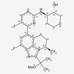 COC(C)(C)c1nc2c(F)cc(-c3nc(N[C@@H]4CCOC[C@H]4O)ncc3F)c3c2n1[C@H](C)CC3